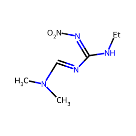 CCNC(N=CN(C)C)=N[N+](=O)[O-]